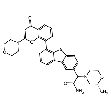 C[C@@H]1CN(C(C(N)=O)c2ccc3sc4c(-c5cccc6c(=O)cc(N7CCOCC7)oc56)cccc4c3c2)CCO1